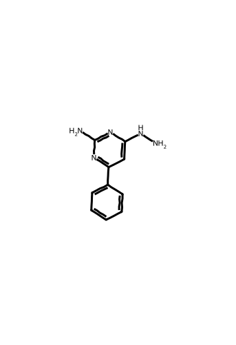 NNc1cc(-c2ccccc2)nc(N)n1